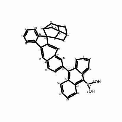 OB(O)c1c2ccccc2c(-c2ccc3cc4c(cc3c2)C2(c3ccccc3-4)C3CC4CC(C3)CC2C4)c2ccccc12